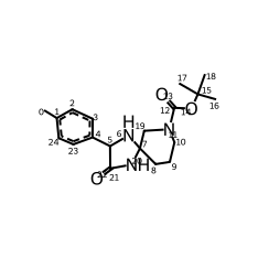 Cc1ccc(C2NC3(CCCN(C(=O)OC(C)(C)C)C3)NC2=O)cc1